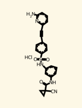 Cl.N#CC1(C(=O)Nc2cccc(NS(=O)(=O)c3ccc(C#Cc4cccc(N)n4)cc3)c2)CC1